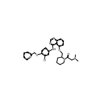 CN(C)CC(=O)N1CCCCC1COc1cccc2ncnc(Nc3ccc(OCc4ccccn4)c(Cl)c3)c12